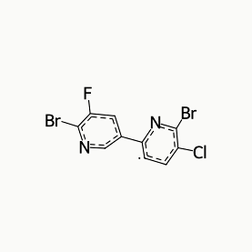 Fc1cc(-c2[c]cc(Cl)c(Br)n2)cnc1Br